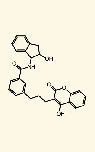 O=C(NC1c2ccccc2CC1O)c1cccc(CCCc2c(O)c3ccccc3oc2=O)c1